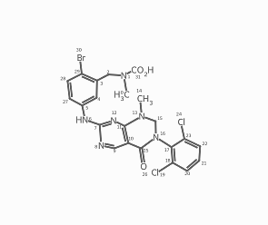 CN(Cc1cc(Nc2ncc3c(n2)N(C)CN(c2c(Cl)cccc2Cl)C3=O)ccc1Br)C(=O)O